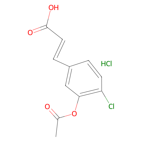 CC(=O)Oc1cc(C=CC(=O)O)ccc1Cl.Cl